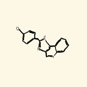 Clc1ccc(-c2nc3cnc4ccccc4c3[nH]2)cc1